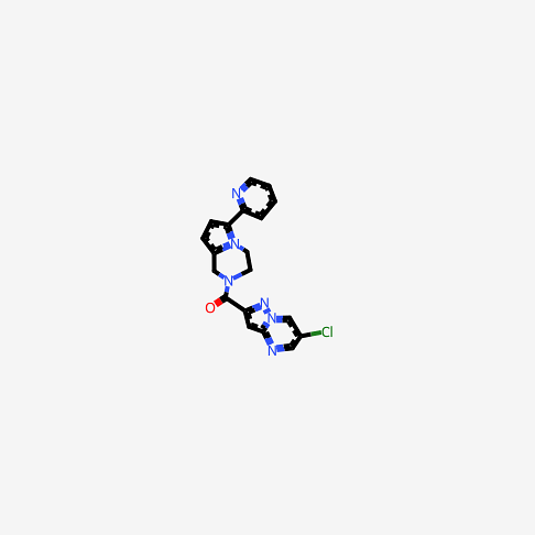 O=C(c1cc2ncc(Cl)cn2n1)N1CCn2c(ccc2-c2ccccn2)C1